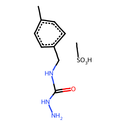 CS(=O)(=O)O.Cc1ccc(CNC(=O)NN)cc1